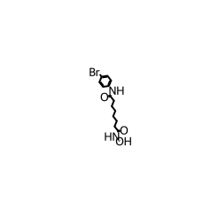 O=C(CCCCCCC(=O)Nc1ccc(Br)cc1)NO